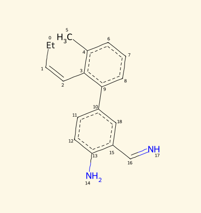 CC/C=C\c1c(C)cccc1-c1ccc(N)c(C=N)c1